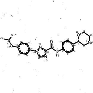 O=C(Nc1ccc(C2CNCCO2)cc1)c1ncn(-c2ccc(OC(F)F)cc2)n1